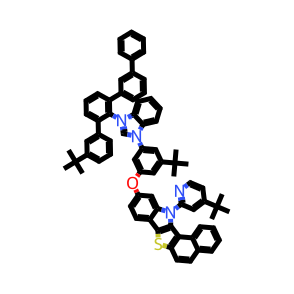 CC(C)(C)c1cccc(-c2cccc(-c3cccc(-c4ccccc4)c3)c2-[n+]2cn(-c3cc(Oc4ccc5c6sc7ccc8ccccc8c7c6n(-c6cc(C(C)(C)C)ccn6)c5c4)cc(C(C)(C)C)c3)c3ccccc32)c1